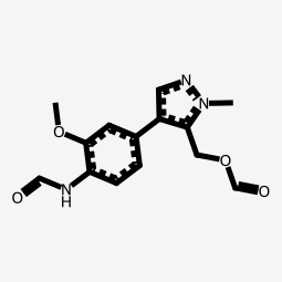 COc1cc(-c2cnn(C)c2COC=O)ccc1NC=O